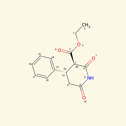 CCOC(=O)[C@H]1C(=O)NC(=O)C[C@@H]1c1ccccc1